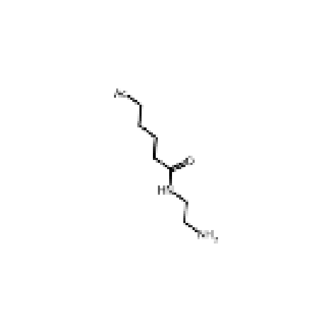 CC(=O)CCCCC(=O)NCCN